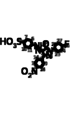 O=C1/C(=N\Nc2ccc(S(=O)(=O)O)cc2)C(c2ccc([N+](=O)[O-])cc2)=NN1c1ccc(F)cc1